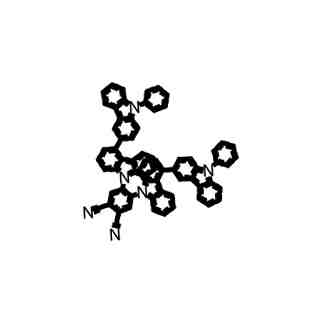 N#Cc1cc(-n2c3ccccc3c3c(-c4ccc5c(c4)c4ccccc4n5-c4ccccc4)cccc32)c(-n2c3ccccc3c3c(-c4ccc5c(c4)c4ccccc4n5-c4ccccc4)cccc32)cc1C#N